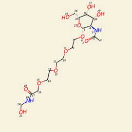 CC(=O)N[C@H]1[C@H](OCCOCCOCCOCC(=O)NCO)O[C@H](CO)[C@H](O)[C@@H]1O